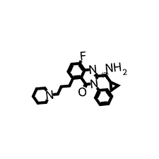 N[C@H](c1nc2c(F)ccc(CCCN3CCCCC3)c2c(=O)n1-c1ccccc1)C1CC1